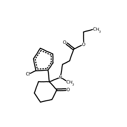 CCOC(=O)CCN(C)C1(c2ccccc2Cl)CCCCC1=O